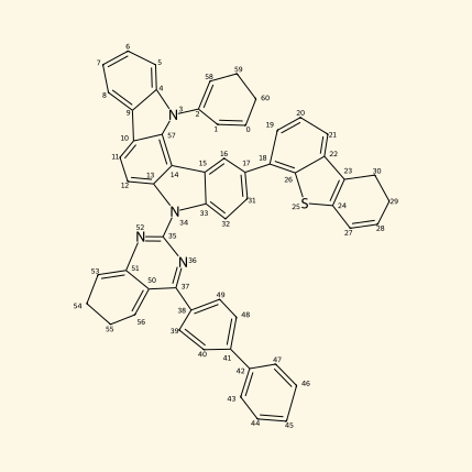 C1=CC(n2c3ccccc3c3ccc4c(c5cc(-c6cccc7c8c(sc67)C=CCC8)ccc5n4-c4nc(-c5ccc(-c6ccccc6)cc5)c5c(n4)=CCCC=5)c32)=CCC1